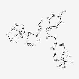 O=C(N[C@H](C(=O)O)C12CC3CC(CC(C3)C1)C2)c1ccc2cc(F)ccc2c1OCc1ccc(S(F)(F)(F)(F)F)cc1